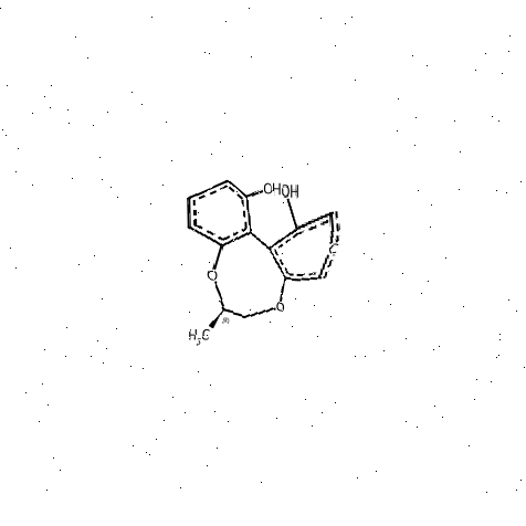 C[C@@H]1COc2cccc(O)c2-c2c(O)cccc2O1